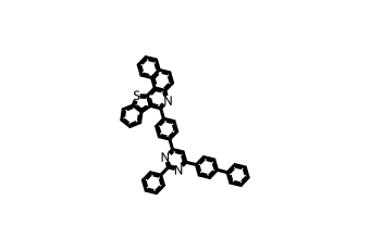 c1ccc(-c2ccc(-c3cc(-c4ccc(-c5nc6ccc7ccccc7c6c6sc7ccccc7c56)cc4)nc(-c4ccccc4)n3)cc2)cc1